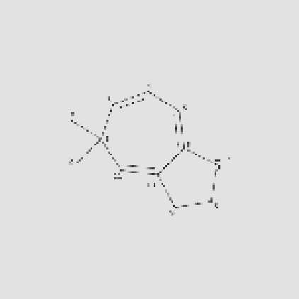 CC1(C)C=CC=C2SCCC2=C1